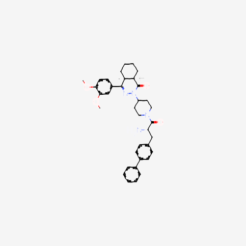 COc1ccc(C2=NN(C3CCN(C(=O)[C@H](N)Cc4ccc(-c5ccccc5)cc4)CC3)C(=O)[C@@H]3CCCC[C@H]23)cc1OC